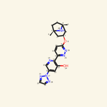 C[C@]12CC[C@](C)(C[C@@H](Oc3ccc(-c4ncc(-n5nccn5)cc4O)nn3)C1)N2